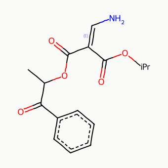 CC(C)OC(=O)/C(=C\N)C(=O)OC(C)C(=O)c1ccccc1